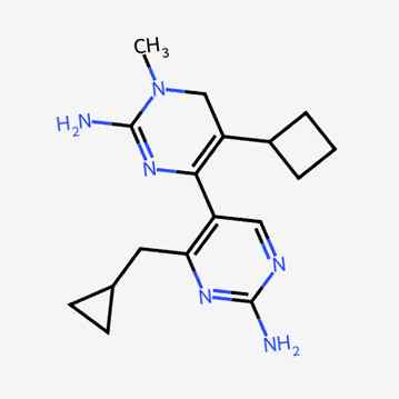 CN1CC(C2CCC2)=C(c2cnc(N)nc2CC2CC2)N=C1N